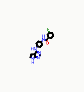 O=C(Nc1ccc(Nc2ncnc3[nH]ccc23)cc1)c1cccc(F)c1